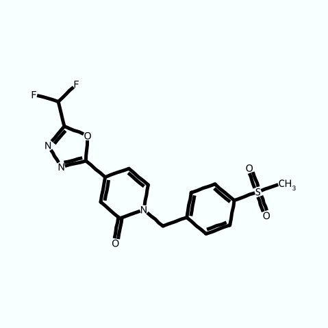 CS(=O)(=O)c1ccc(Cn2ccc(-c3nnc(C(F)F)o3)cc2=O)cc1